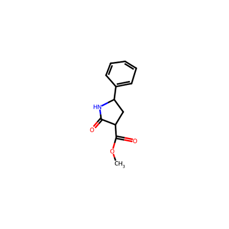 COC(=O)C1CC(c2ccccc2)NC1=O